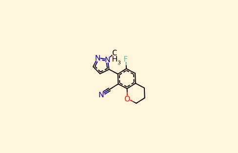 Cn1nccc1-c1c(F)cc2c(c1C#N)OCCC2